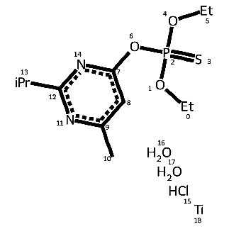 CCOP(=S)(OCC)Oc1cc(C)nc(C(C)C)n1.Cl.O.O.[Ti]